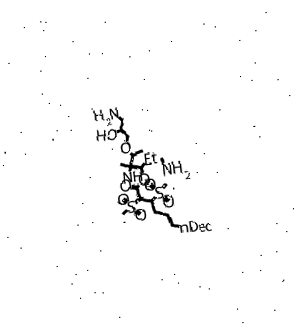 CCCCCCCCCCCCCC(C(C(=O)OC(CC)C(C)(N)C(C)OCC(O)CN)S(C)(=O)=O)S(C)(=O)=O.CN